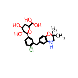 CC1(C)CNc2cc(Cc3cc([C@@H]4OC(C(O)O)C[C@H](O)[C@H]4O)ccc3Cl)ccc2O1